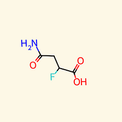 NC(=O)CC(F)C(=O)O